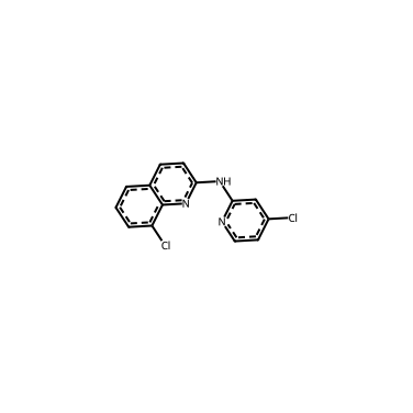 Clc1ccnc(Nc2ccc3cccc(Cl)c3n2)c1